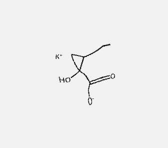 CC1CC1(O)C(=O)[O-].[K+]